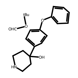 CC(C)(C)OC=O.OC1(c2ccc(Oc3ccccc3)cc2)CCNCC1